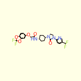 O=C(COc1ccc2c(c1)OC(F)(F)O2)N[C@H]1CC[C@H](N2CCN(c3ccc(C(F)F)cn3)C2=O)CC1